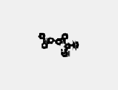 c1ccc(-n2c3ccccc3c3cc(-c4ccc5c(c4)c4ccccc4n5-c4cc(-c5ncccn5)cc(-c5ncccn5)c4)ccc32)cc1